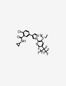 CC[S+]([O-])c1cc(C(F)(C(F)(F)F)C(F)(F)F)cnc1-n1cc(-c2ccc(Cl)c(C(=O)NC3CC3)c2)cn1